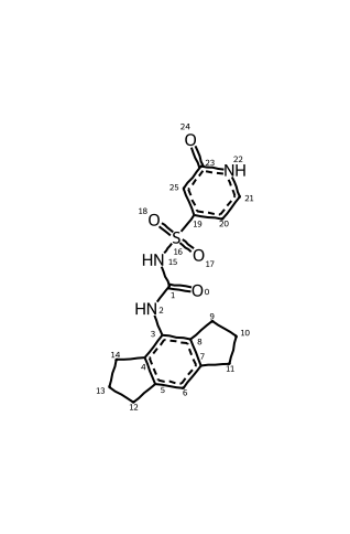 O=C(Nc1c2c(cc3c1CCC3)CCC2)NS(=O)(=O)c1cc[nH]c(=O)c1